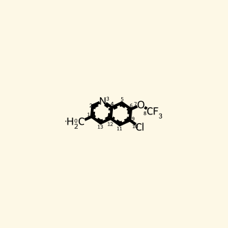 [CH2]c1cnc2cc(OC(F)(F)F)c(Cl)cc2c1